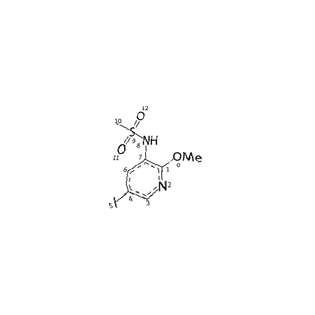 COc1ncc(I)cc1NS(C)(=O)=O